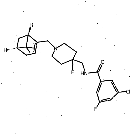 CC1(C)[C@H]2CC=C(CN3CCC(F)(CNC(=O)c4cc(F)cc(Cl)c4)CC3)[C@H]1C2